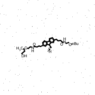 [2H]SCC1c2cc(CCCC(=O)NCCOCCCC)ccc2-c2ccc(CCCC(=O)NCCOC(C)CCO)cc21